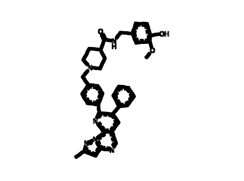 COc1cc(CNC(=O)C2CCN(Cc3ccc(-c4nc5c(cnc6cc(C)nn65)cc4-c4ccccc4)cc3)CC2)ccc1O